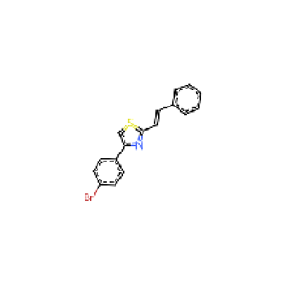 Brc1ccc(-c2csc(/C=C/c3ccccc3)n2)cc1